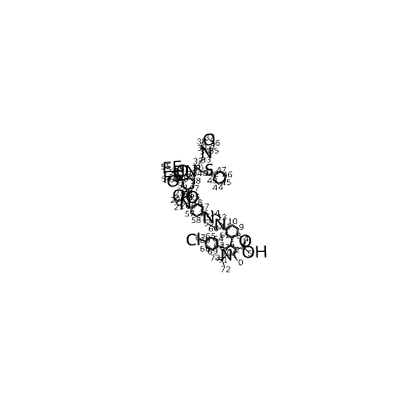 Cc1c(C(=O)O)c(-c2cccc(N3CCN(c4ccc(N5CCO[P@]5(=O)c5ccc(N[C@H](CCN6CCOCC6)CSc6ccccc6)c(S(=O)(=O)C(F)(F)F)c5)cc4)CC3)c2)c(-c2ccc(Cl)cc2)n1C(C)C